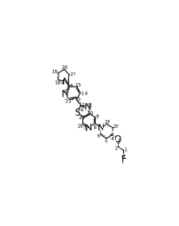 FCCOC1CCN(c2cc3nc(-c4ccc(N5CCCC5)nc4)sc3cn2)CC1